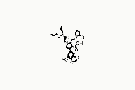 CCCON(CCC)C(=O)CN1C[C@H](c2cc(OC)c3c(c2)OCO3)[C@@H](C(=O)O)[C@@H]1CCN1CCCC1=O